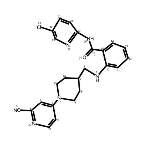 N#Cc1cc(N2CCC(CNc3ccccc3C(=O)Nc3ccc(Cl)cn3)CC2)ccn1